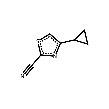 N#Cc1nc(C2CC2)cs1